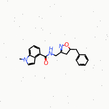 Cn1ccc2c(C(=O)NCC3=NOC(Cc4ccccc4)C3)cccc21